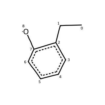 CCc1ccccc1[O]